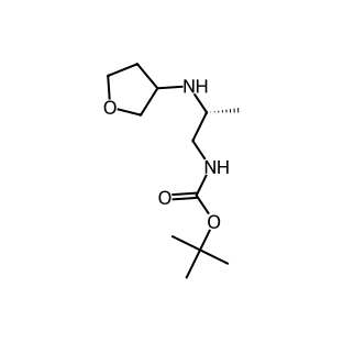 C[C@H](CNC(=O)OC(C)(C)C)NC1CCOC1